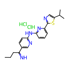 CCCC(=N)c1ccc(Nc2cccc(-c3ncc(C(C)C)s3)n2)nc1.Cl.Cl